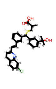 CC(CSC(c1cccc(C=Cc2ccc3ccc(Cl)cc3n2)c1)c1cccc(C(C)(C)O)c1)C(=O)O